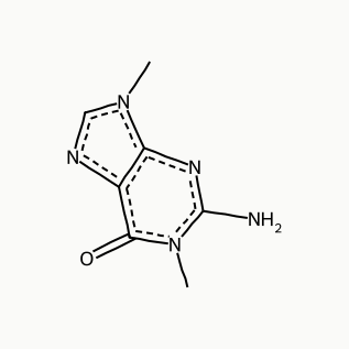 Cn1c(N)nc2c(ncn2C)c1=O